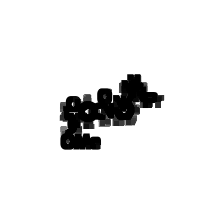 COCCN1CCOc2cc3c(cc21)CN(c1cccc(-c2nncn2C(C)C)n1)C3=O